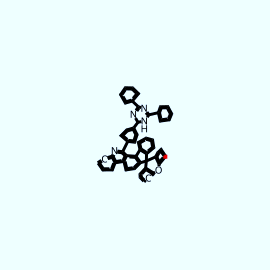 c1ccc(C2=NC(c3ccc(-c4nc5ccccc5c5ccc6c(c45)-c4ccccc4C64c5ccccc5Oc5ccccc54)cc3)NC(c3ccccc3)=N2)cc1